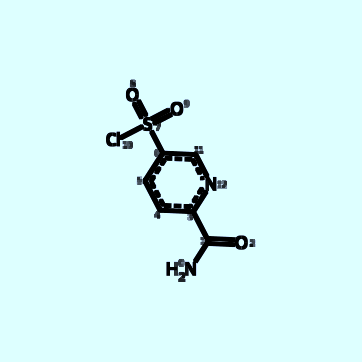 NC(=O)c1ccc(S(=O)(=O)Cl)cn1